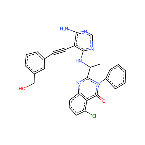 CC(Nc1ncnc(N)c1C#Cc1cccc(CO)c1)c1nc2cccc(Cl)c2c(=O)n1-c1ccccc1